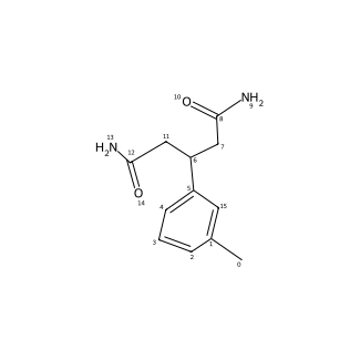 Cc1cccc(C(CC(N)=O)CC(N)=O)c1